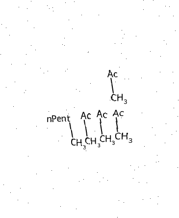 CC(C)=O.CC(C)=O.CC(C)=O.CC(C)=O.CCCCCC